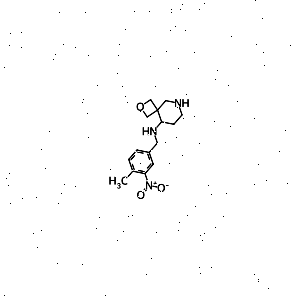 Cc1ccc(CNC2CCNCC23COC3)cc1[N+](=O)[O-]